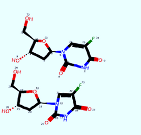 O=c1[nH]c(=O)n([C@H]2C[C@H](O)[C@@H](CO)O2)cc1F.O=c1[nH]c(=O)n([C@H]2C[C@H](O)[C@@H](CO)O2)cc1F